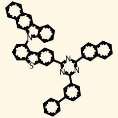 c1ccc(-c2cccc(-c3nc(-c4ccc5ccccc5c4)nc(-c4ccc5c(c4)sc4cccc(-n6c7ccccc7c7cc8ccccc8cc76)c45)n3)c2)cc1